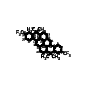 CC1(C)c2cc(C(F)(F)F)ccc2-c2cc3ccc4c5c(cc6ccc1c2c6c35)-c1ccc(C(F)(F)F)cc1C4(C)C